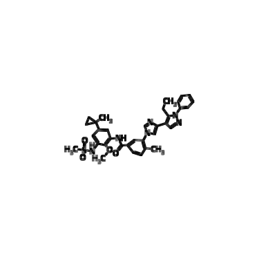 CCc1c(-c2cn(-c3cc(C(=O)Nc4cc(C5(C)CC5)cc(NS(C)(=O)=O)c4OC)ccc3C)cn2)cnn1-c1ccccc1